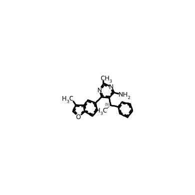 Cc1nc(N)c([C@@H](C)c2ccccc2)c(-c2ccc3occ(C)c3c2)n1